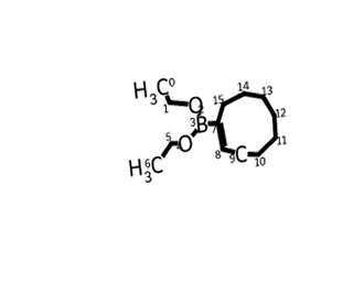 CCOB(OCC)C1=CCCCCCCC1